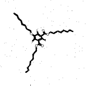 CCCCCCCCOC(=O)c1c(I)c(OCCCCCCCC)c(I)c(C(=O)OCCCCCCCC)c1I